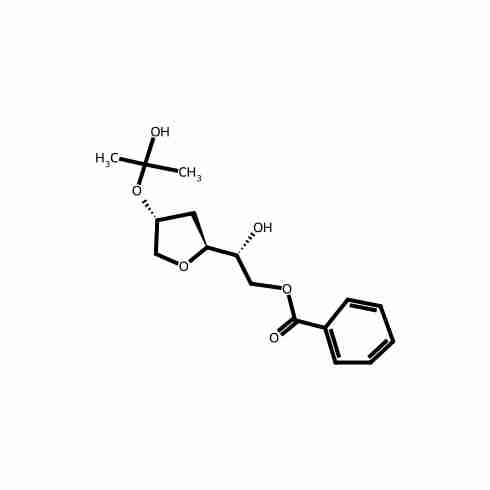 CC(C)(O)O[C@H]1CO[C@H]([C@H](O)COC(=O)c2ccccc2)C1